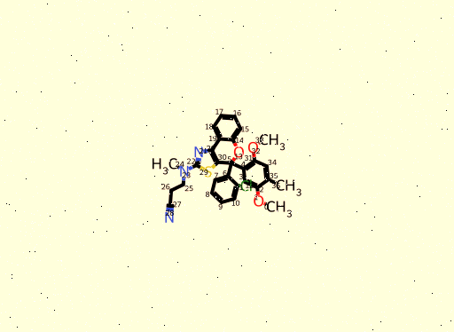 COc1cc(C2(c3ccccc3Cl)Oc3ccccc3-c3nc(N(C)CCC#N)sc32)c(OC)cc1C